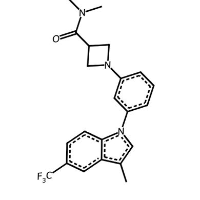 Cc1cn(-c2cccc(N3CC(C(=O)N(C)C)C3)c2)c2ccc(C(F)(F)F)cc12